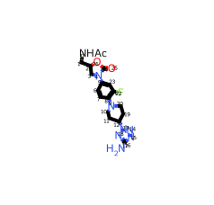 CC(=O)NCC1CN(c2ccc(N3CCC(n4nnc(N)n4)CC3)c(F)c2)C(=O)O1